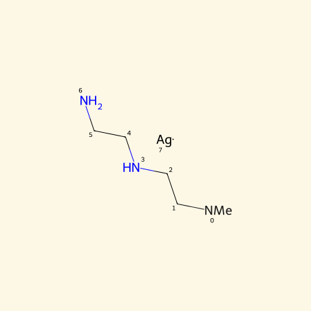 CNCCNCCN.[Ag]